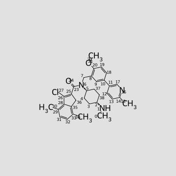 CN[C@H]1CC[C@@H](N(Cc2cc(-c3ccc(C)nc3)ccc2OC)C(=O)C2=C(Cl)c3c(C)ccc(C)c3C2)CC1